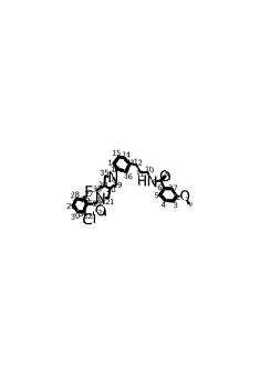 COc1cccc(C(=O)NCCCc2cccc(N3CC4CN(C(=O)c5c(F)cccc5Cl)CC4C3)c2)c1